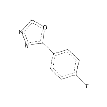 Fc1ccc(-c2nn[c]o2)cc1